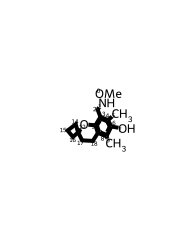 CONCc1c(C)c(O)c(C)c2c1OC1(CCC1)CC2